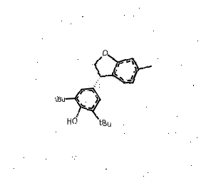 Cc1ccc2c(c1)O[CH][C@H]2c1cc(C(C)(C)C)c(O)c(C(C)(C)C)c1